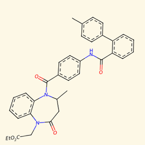 CCOC(=O)CN1C(=O)CC(C)N(C(=O)c2ccc(NC(=O)c3ccccc3-c3ccc(C)cc3)cc2)c2ccccc21